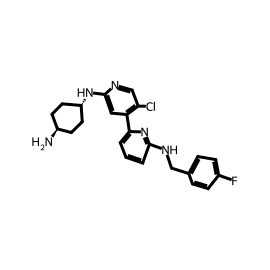 N[C@H]1CC[C@H](Nc2cc(-c3cccc(NCc4ccc(F)cc4)n3)c(Cl)cn2)CC1